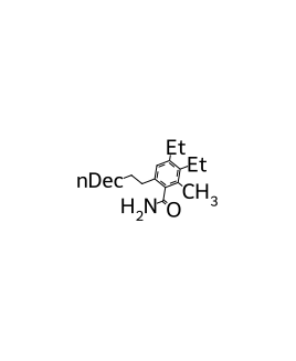 CCCCCCCCCCCCc1cc(CC)c(CC)c(C)c1C(N)=O